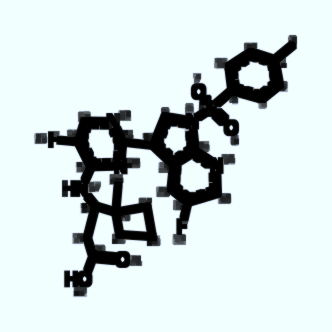 Cc1ccc(S(=O)(=O)n2cc(-c3ncc(F)c(NC(CC(=O)O)C4(C)CCC4)n3)c3cc(F)cnc32)cc1